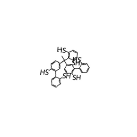 CC(c1ccc(S)c(-c2ccccc2S)c1)(c1ccc(S)c(-c2ccccc2S)c1)c1c(S)cccc1S